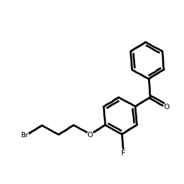 O=C(c1ccccc1)c1ccc(OCCCBr)c(F)c1